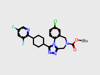 CC(C)(C)OC(=O)N1Cc2cc(Cl)ccc2-n2c(nnc2C2CCC(c3ncc(F)cc3F)CC2)C1